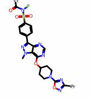 CCC(=O)N(F)S(=O)(=O)c1ccc(-c2nn(C)c3c(OC4CCN(c5nc(C(C)C)no5)CC4)ncnc23)cc1